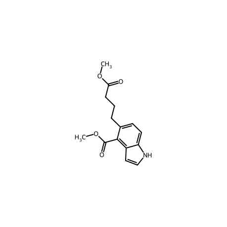 COC(=O)CCCc1ccc2[nH]ccc2c1C(=O)OC